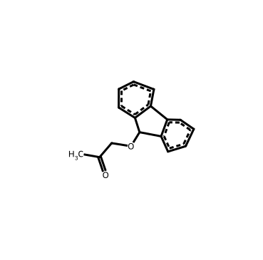 CC(=O)COC1c2ccccc2-c2ccccc21